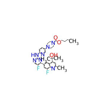 CCCCOC(=O)N1CCN(c2ccc(Nc3ncc(F)c(-c4cc(F)c5nc(C)cc(C(C)(C)O)c5c4)n3)nc2)CC1